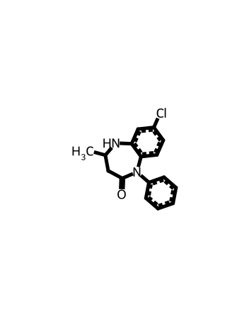 CC1CC(=O)N(c2ccccc2)c2ccc(Cl)cc2N1